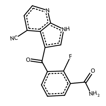 N#Cc1ccnc2[nH]cc(C(=O)c3cccc(C(N)=O)c3F)c12